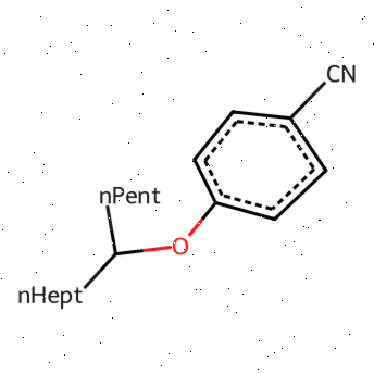 CCCCCCCC(CCCCC)Oc1ccc(C#N)cc1